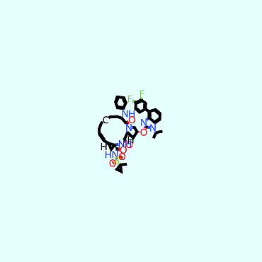 CC(C)n1c(O[C@@H]2C[C@H]3C(=O)N[C@]4(C(=O)NS(=O)(=O)C5(C)CC5)C[C@H]4/C=C\CCCCC[C@H](Nc4ccccc4)C(=O)N3C2)nc2c(-c3ccc(F)c(F)c3)cccc21